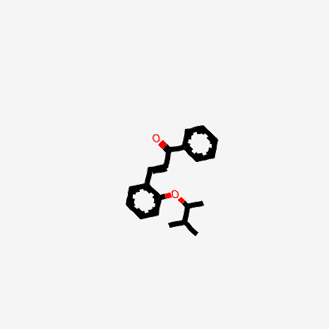 CC(C)C(C)Oc1ccccc1C=CC(=O)c1ccccc1